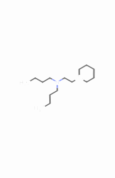 CCCCN(CCCC)C[CH2][Ga]1[CH2]CCC[CH2]1